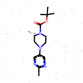 Cc1ncc(N2CCN(C(=O)OC(C)(C)C)[C@@H](C)C2)cn1